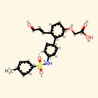 Cc1ccc(S(=O)(=O)Nc2ccc(-c3cc(OCC(=O)O)ccc3C=CC=O)cc2)cc1